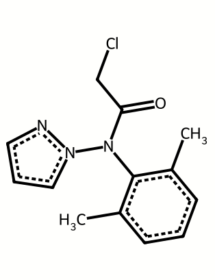 Cc1cccc(C)c1N(C(=O)CCl)n1cccn1